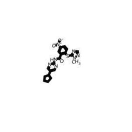 Cn1ncnc1Sc1ccc([N+](=O)[O-])cc1C(=O)Nc1ncc(C2CCCC2)cn1